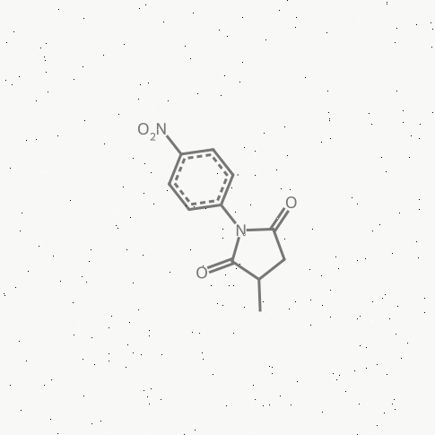 CC1CC(=O)N(c2[c]cc([N+](=O)[O-])cc2)C1=O